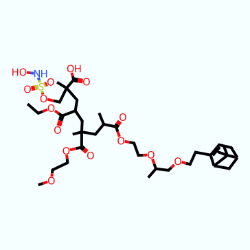 CCOC(=O)C(CC(C)(COS(=O)(=O)NO)C(=O)O)CC(C)(CC(C)C(=O)OCCOC(C)COCCC1=CCC2CC1C2(C)C)C(=O)OCCOC